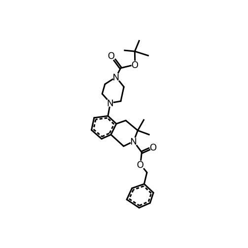 CC(C)(C)OC(=O)N1CCN(c2cccc3c2CC(C)(C)N(C(=O)OCc2ccccc2)C3)CC1